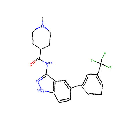 CN1CCC(C(=O)Nc2n[nH]c3ccc(-c4cccc(C(F)(F)F)c4)cc23)CC1